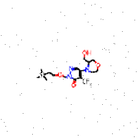 C[Si](C)(C)CCOCn1ncc(N2CCOCC2CO)c(C(F)(F)F)c1=O